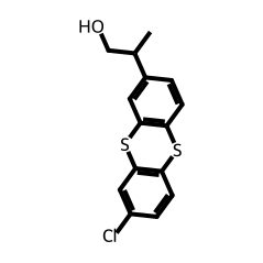 CC(CO)c1ccc2c(c1)Sc1cc(Cl)ccc1S2